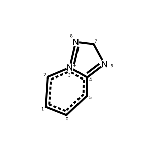 c1cc[n+]2c(c1)=NCN=2